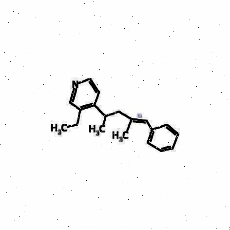 CCc1cnccc1C(C)C/C(C)=C/c1ccccc1